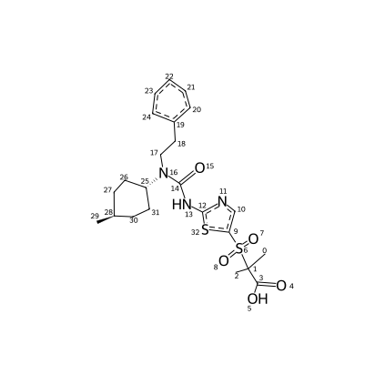 CC(C)(C(=O)O)S(=O)(=O)c1cnc(NC(=O)N(CCc2ccccc2)[C@H]2CC[C@H](C)CC2)s1